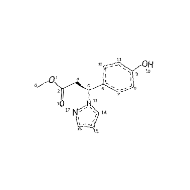 COC(=O)C[C@@H](c1ccc(O)cc1)n1cccn1